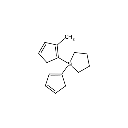 CC1=C([Si]2(C3=CC=CC3)CCCC2)CC=C1